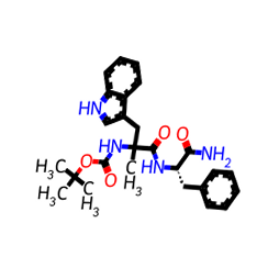 CC(C)(C)OC(=O)NC(C)(Cc1c[nH]c2ccccc12)C(=O)N[C@@H](Cc1ccccc1)C(N)=O